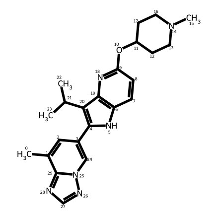 Cc1cc(-c2[nH]c3ccc(OC4CCN(C)CC4)nc3c2C(C)C)cn2ncnc12